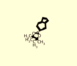 CC1(C)OB(c2ccc3cccc-3cc2)OC1(C)C